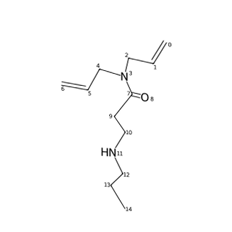 C=CCN(CC=C)C(=O)CCNCCC